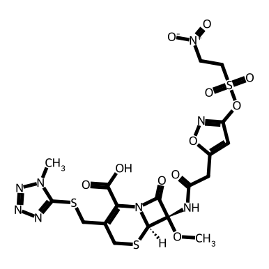 CO[C@@]1(NC(=O)Cc2cc(OS(=O)(=O)CC[N+](=O)[O-])no2)C(=O)N2C(C(=O)O)=C(CSc3nnnn3C)CS[C@@H]21